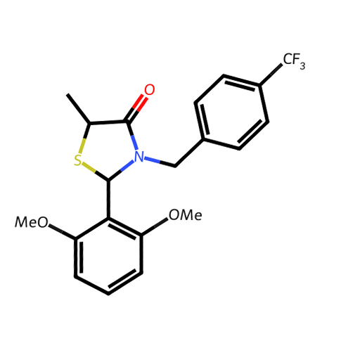 COc1cccc(OC)c1C1SC(C)C(=O)N1Cc1ccc(C(F)(F)F)cc1